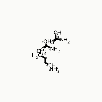 C.CCCC.N.NC(O)=S.NC(O)=S